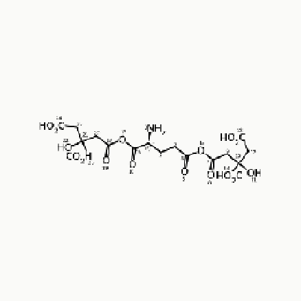 N[C@@H](CCC(=O)OC(=O)CC(O)(CC(=O)O)C(=O)O)C(=O)OC(=O)CC(O)(CC(=O)O)C(=O)O